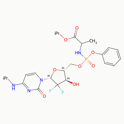 CC(C)Nc1ccn([C@@H]2O[C@H](COP(=O)(NC(C)C(=O)OC(C)C)Oc3ccccc3)[C@@H](O)C2(F)F)c(=O)n1